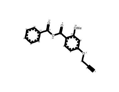 C#CCOc1ccc(C(=O)OC(=O)c2ccccc2)c(OC)c1